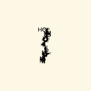 Cc1cc(-n2cnnn2)cnc1OCC[C@@H]1C[C@@H]1C1CCN(c2nc(C(C)O)no2)CC1